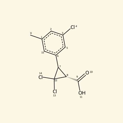 Cc1cc(Cl)cc(C2[C@H](C(=O)O)C2(Cl)Cl)c1